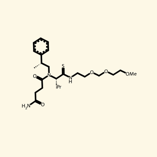 COCCOCOCCNC(=S)[C@H](C(C)C)N(C[C@H](C)c1ccccc1)C(=O)CCC(N)=O